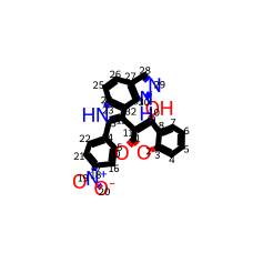 O=c1oc2ccccc2c(O)c1-c1c(-c2ccc([N+](=O)[O-])cc2)[nH]c2ccc3cn[nH]c3c12